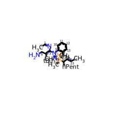 C/C=N\C(=C(\C)CN)N(c1ccccc1C)N(C(C)(C)C)[PH](C)(C)C(/C=C/C)CCCCC